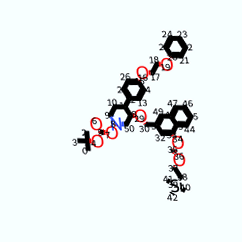 CC(C)(C)OC(=O)ON1CCC(c2ccc(OCCOc3ccccc3)cc2)C(OCc2cc(OCOCC[Si](C)(C)C)c3ccccc3c2)C1